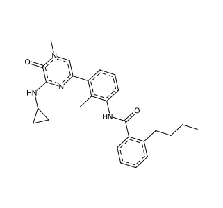 CCCCc1ccccc1C(=O)Nc1cccc(-c2cn(C)c(=O)c(NC3CC3)n2)c1C